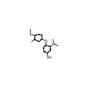 CSc1ccc(Oc2ccc(S)cc2N(C)C)cc1C